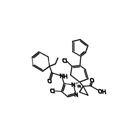 CCC1(C(=O)Nc2c(Cl)cnn2[C@@]2(C3(C(=O)O)CC3)C=CC(c3ccccc3)=C(Cl)C2)C=CC=CC1